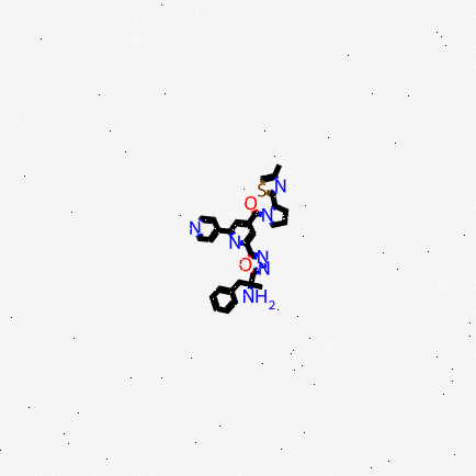 Cc1csc(C2CCCN2C(=O)c2cc(-c3ccncc3)nc(-c3nnc(C(C)(N)Cc4ccccc4)o3)c2)n1